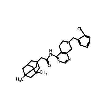 CC12CC3CC(C)(C1)CC(CC(=O)Nc1ncnc4c1CCN(Cc1ccccc1Cl)C4)(C3)C2